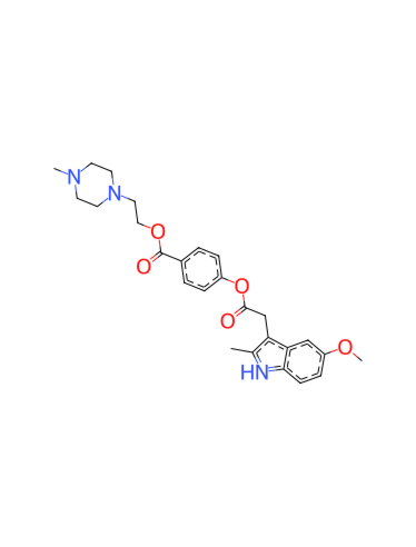 COc1ccc2[nH]c(C)c(CC(=O)Oc3ccc(C(=O)OCCN4CCN(C)CC4)cc3)c2c1